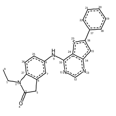 CCN1C(=O)Cc2cc(Nc3ncnc4cc(-c5ccccc5)sc34)ccc21